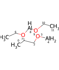 CCC[O][AlH2].CC[O][AlH][O]CC